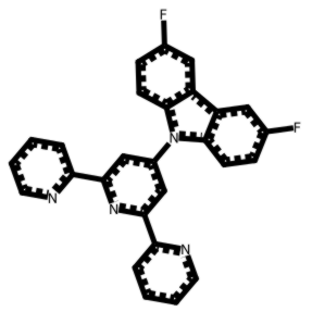 Fc1ccc2c(c1)c1cc(F)ccc1n2-c1cc(-c2ccccn2)nc(-c2ccccn2)c1